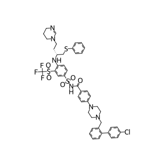 O=C(NS(=O)(=O)c1ccc(N[C@H](CCN2C=NCCC2)CSc2ccccc2)c(S(=O)(=O)C(F)(F)F)c1)c1ccc(N2CCN(Cc3ccccc3-c3ccc(Cl)cc3)CC2)cc1